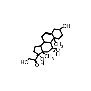 CC12CCC(O)CC1=CCC1C2[C@@H](O)CC2(C)C1CC[C@]2(O)C(=O)CO